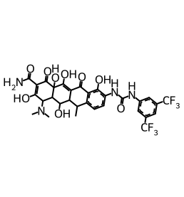 CC1c2ccc(NC(=O)Nc3cc(C(F)(F)F)cc(C(F)(F)F)c3)c(O)c2C(=O)C2=C(O)C3(O)C(=O)C(C(N)=O)=C(O)C(N(C)C)C3C(O)C21